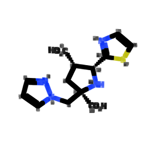 O=C(O)[C@H]1C[C@@](Cn2cccn2)(C(=O)O)N[C@H]1c1nccs1